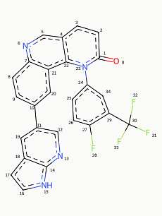 O=c1ccc2cnc3ccc(-c4cnc5[nH]ccc5c4)cc3c2n1-c1ccc(F)c(C(F)(F)F)c1